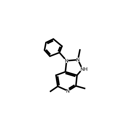 Cc1cc2c(c(C)n1)NN(C)N2c1ccccc1